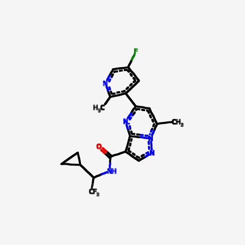 Cc1ncc(F)cc1-c1cc(C)n2ncc(C(=O)NC(C3CC3)C(F)(F)F)c2n1